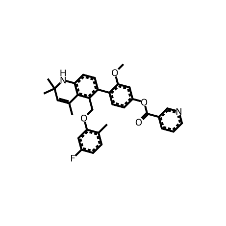 COc1cc(OC(=O)c2cccnc2)ccc1-c1ccc2c(c1COc1cc(F)ccc1C)C(C)=CC(C)(C)N2